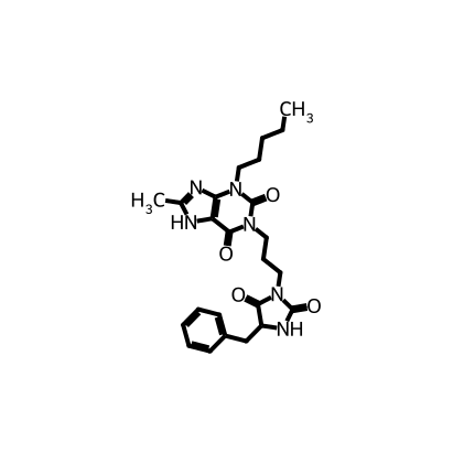 CCCCCn1c(=O)n(CCCN2C(=O)NC(Cc3ccccc3)C2=O)c(=O)c2[nH]c(C)nc21